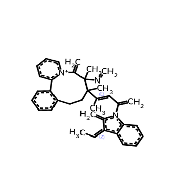 C=NC1(C)C(=C)[n+]2ccccc2-c2ccccc2CCC1(C)/C(C)=C/C(=C)n1c(=C)/c(=C\C)c2ccccc21